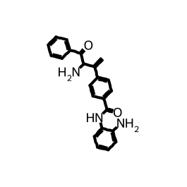 C=C(c1ccc(C(=O)Nc2ccccc2N)cc1)C(N)C(=O)c1ccccc1